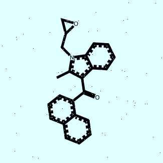 Cc1c(C(=O)c2cccc3ccccc23)c2ccccc2n1CC1CO1